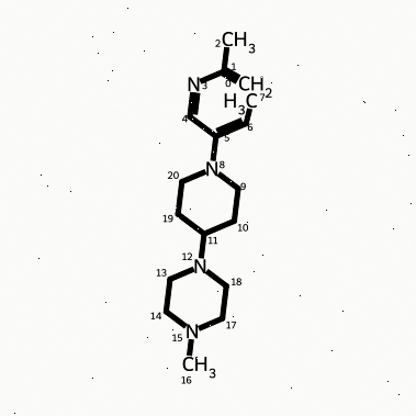 C=C(C)/N=C\C(=C/C)N1CCC(N2CCN(C)CC2)CC1